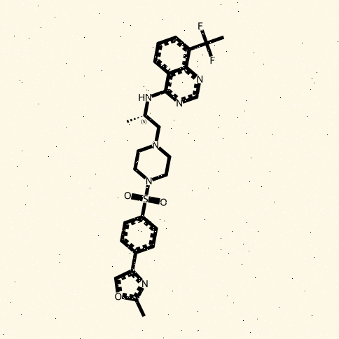 Cc1nc(-c2ccc(S(=O)(=O)N3CCN(C[C@H](C)Nc4ncnc5c(C(C)(F)F)cccc45)CC3)cc2)co1